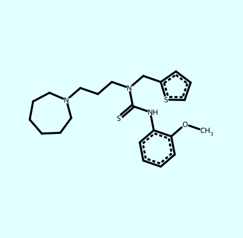 COc1ccccc1NC(=S)N(CCCN1CCCCCC1)Cc1cccs1